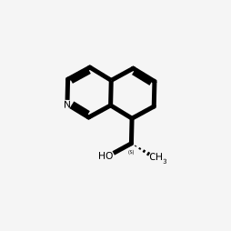 C[C@H](O)C1CC=CC2C=CN=CC21